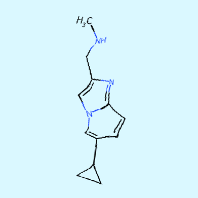 CNCc1cn2cc(C3CC3)ccc2n1